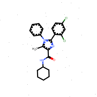 Cc1c(C(=O)NC2CCCCC2)nc(-c2ccc(Cl)cc2Cl)n1-c1ccccc1